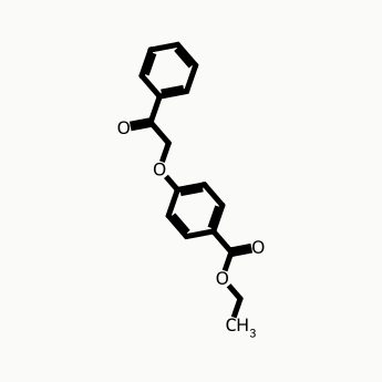 CCOC(=O)c1ccc(OCC(=O)c2ccccc2)cc1